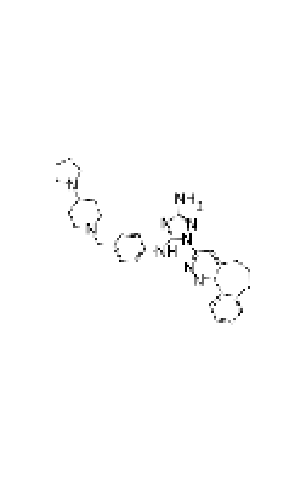 Nc1nc(Nc2ccc(CN3CCC(N4CCCC4)CC3)cc2)n(-c2cc3c(nn2)-c2ccccc2CCC3)n1